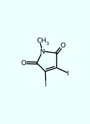 CN1C(=O)C(I)=C(I)C1=O